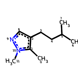 Cc1c(CCC(C)C)[c]nn1C